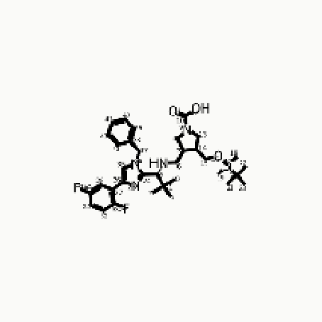 CC(C)(C)[C@@H](NCC1CN(C(=O)O)CC1CO[Si](C)(C)C(C)(C)C)c1nc(-c2cc(F)ccc2F)cn1Cc1ccccc1